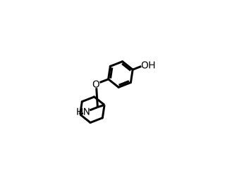 Oc1ccc(OC2NC3CCC2CC3)cc1